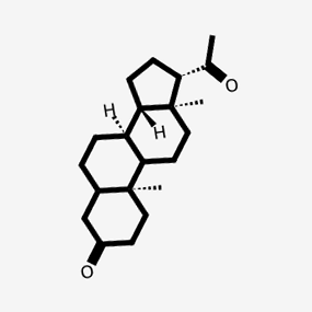 CC(=O)[C@H]1CC[C@H]2[C@@H]3CCC4CC(=O)CC[C@]4(C)C3CC[C@]12C